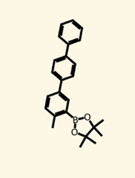 Cc1ccc(-c2ccc(-c3ccccc3)cc2)cc1B1OC(C)(C)C(C)(C)O1